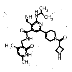 Cc1cc(C)c(CNC(=O)c2cc(C3=CCN(C(=O)C4CNC4)CC3)nc(NC(C)C)c2C=N)c(=O)[nH]1